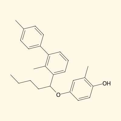 CCCCC(Oc1ccc(O)c(C)c1)c1cccc(-c2ccc(C)cc2)c1C